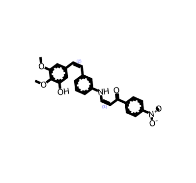 COc1cc(/C=C\c2cccc(N/C=C\C(=O)c3ccc([N+](=O)[O-])cc3)c2)cc(O)c1OC